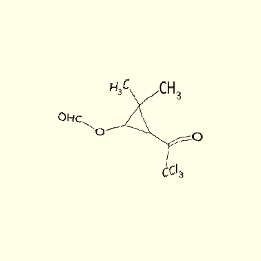 CC1(C)C(OC=O)C1C(=O)C(Cl)(Cl)Cl